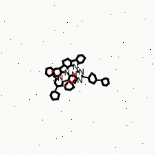 c1ccc(-c2ccc(-c3nc(-c4ccccc4)nc(-n4c5ccccc5c5ccc6c7ccccc7n(-c7ccccc7-c7cc(-c8ccccc8)cc(-c8ccccc8)n7)c6c54)n3)cc2)cc1